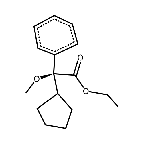 CCOC(=O)[C@@](OC)(c1ccccc1)C1CCCC1